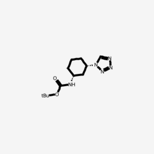 CC(C)(C)OC(=O)N[C@@H]1[CH]CC[C@H](n2cnnn2)C1